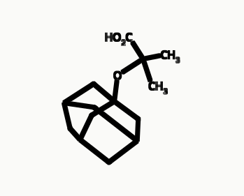 CC(C)(OC12CC3CC(CC(C3)C1)C2)C(=O)O